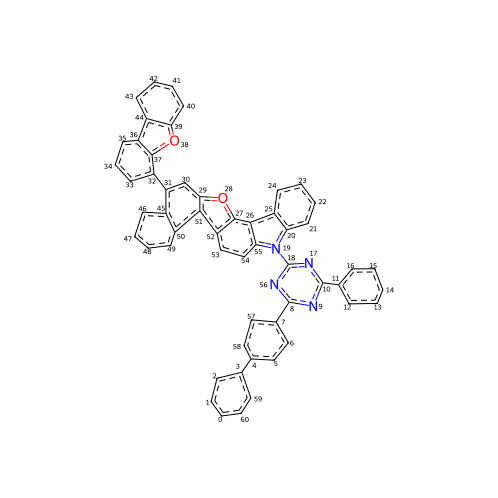 c1ccc(-c2ccc(-c3nc(-c4ccccc4)nc(-n4c5ccccc5c5c6oc7cc(-c8cccc9c8oc8ccccc89)c8ccccc8c7c6ccc54)n3)cc2)cc1